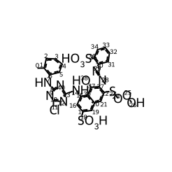 Cc1ccccc1Nc1nc(Cl)nc(Nc2cc(S(=O)(=O)O)cc3cc(SOOO)c(N=Nc4ccccc4S(=O)(=O)O)c(O)c23)n1